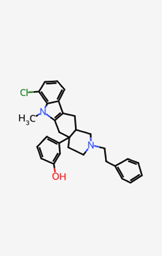 Cn1c2c(c3cccc(Cl)c31)CC1CN(CCc3ccccc3)CCC1(c1cccc(O)c1)C2